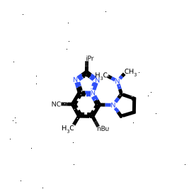 CCCCc1c(C)c(C#N)c2nc(C(C)C)nn2c1N1CCCC1N(C)C